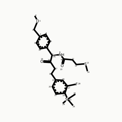 COCc1ccc([C@@H](NC(=O)CCSC)C(=O)CCc2ccc([Si](C)(C)C)c(F)c2)cc1